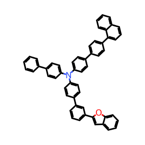 c1ccc(-c2ccc(N(c3ccc(-c4ccc(-c5cccc6ccccc56)cc4)cc3)c3ccc(-c4cccc(-c5cc6ccccc6o5)c4)cc3)cc2)cc1